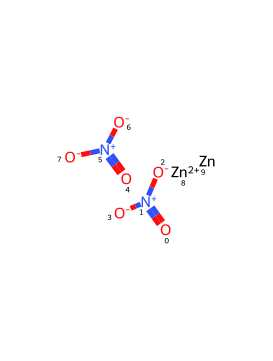 O=[N+]([O-])[O-].O=[N+]([O-])[O-].[Zn+2].[Zn]